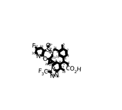 Cc1ccc(C(CC(=O)O)c2ccn3c(C(F)(F)F)nnc3c2C)cc1CN1CC2(CC2)Oc2ncc(F)cc2[S+]1[O-]